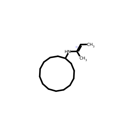 C/C=C(\C)NC1CCCCCCCCCCCCC1